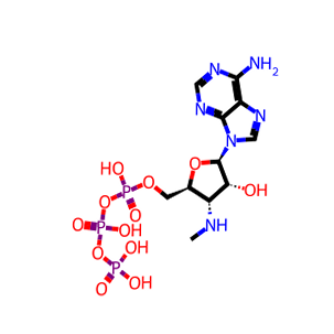 CN[C@H]1[C@@H](O)[C@H](n2cnc3c(N)ncnc32)O[C@@H]1COP(=O)(O)OP(=O)(O)OP(=O)(O)O